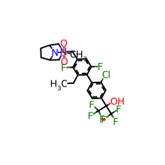 CCc1c(F)c(CN2CC3CCC(C2)N3S(C)(=O)=O)cc(F)c1-c1ccc(C(O)(C(F)(F)F)C(F)(F)F)cc1Cl